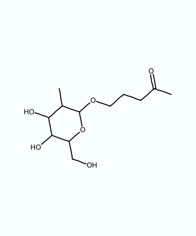 CC(=O)CCCOC1OC(CO)C(O)C(O)C1C